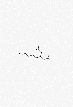 CC(C)CC(CCCCP=O)CC(C)C